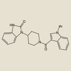 CC(C)n1cc(C(=O)N2CCC(n3c(=O)[nH]c4ccccc43)CC2)c2ccccc21